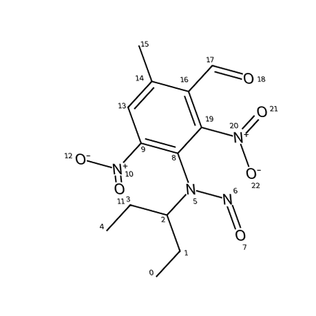 CCC(CC)N(N=O)c1c([N+](=O)[O-])cc(C)c(C=O)c1[N+](=O)[O-]